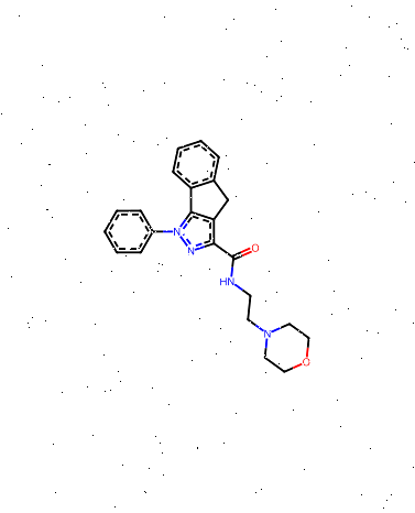 O=C(NCCN1CCOCC1)c1nn(-c2ccccc2)c2c1Cc1ccccc1-2